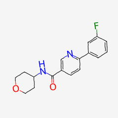 O=C(NC1CCOCC1)c1ccc(-c2cccc(F)c2)nc1